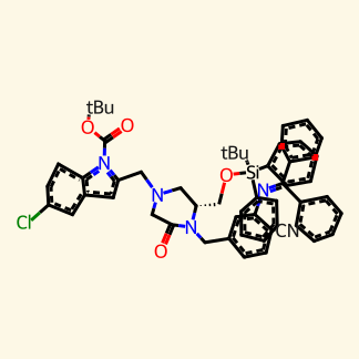 CC(C)(C)OC(=O)n1c(CN2CC(=O)N(Cc3ccc(C#N)c(N=C(c4ccccc4)c4ccccc4)c3)[C@@H](CO[Si](c3ccccc3)(c3ccccc3)C(C)(C)C)C2)cc2cc(Cl)ccc21